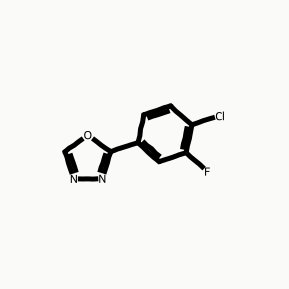 Fc1cc(-c2nnco2)ccc1Cl